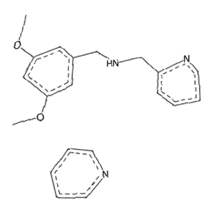 COc1cc(CNCc2ccccn2)cc(OC)c1.c1ccncc1